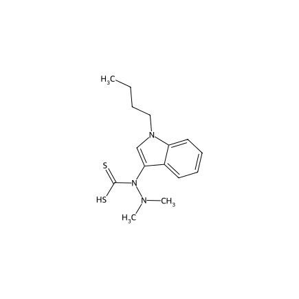 CCCCn1cc(N(C(=S)S)N(C)C)c2ccccc21